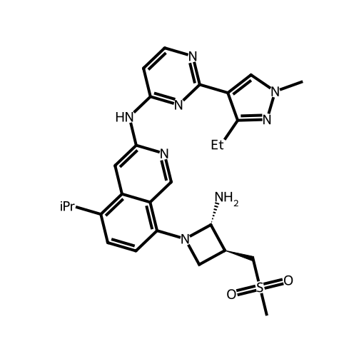 CCc1nn(C)cc1-c1nccc(Nc2cc3c(C(C)C)ccc(N4C[C@H](CS(C)(=O)=O)[C@H]4N)c3cn2)n1